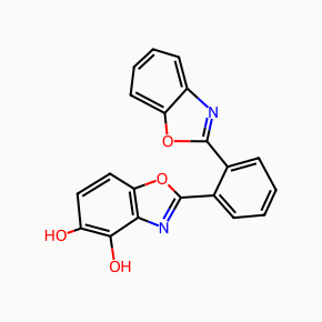 Oc1ccc2oc(-c3ccccc3-c3nc4ccccc4o3)nc2c1O